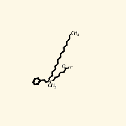 CCCCCCCCCCCCCCCC[N+](C)(CCCCCC(=O)[O-])CCc1ccccc1